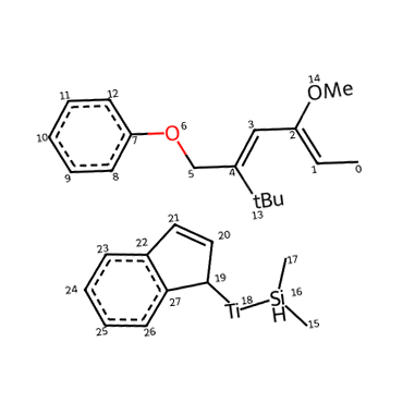 CC=C(C=C(COc1ccccc1)C(C)(C)C)OC.C[SiH](C)[Ti][CH]1C=Cc2ccccc21